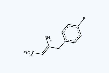 CCOC(=O)C=C(N)Cc1ccc(F)cc1